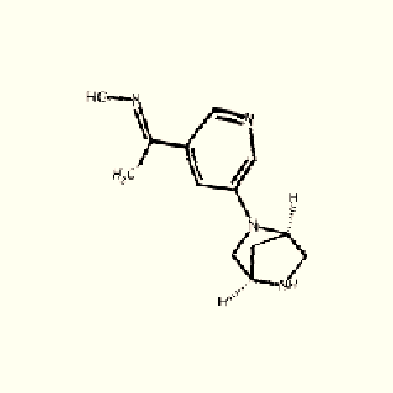 C/C(=N\O)c1cncc(N2C[C@H]3C[C@@H]2CN3)c1